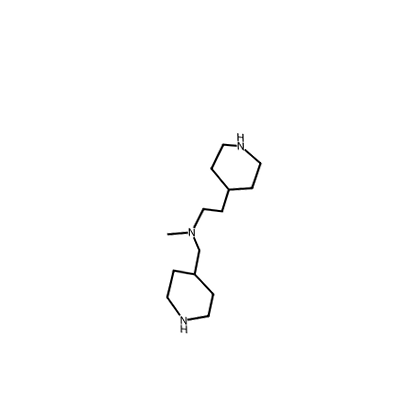 CN(CCC1CCNCC1)CC1CCNCC1